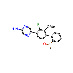 COc1c(-c2ccccc2[S+](C)[O-])ccc(-c2cnc(N)cn2)c1F